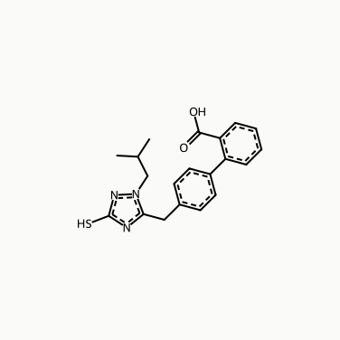 CC(C)Cn1nc(S)nc1Cc1ccc(-c2ccccc2C(=O)O)cc1